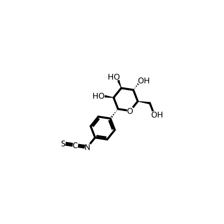 OC[C@H]1O[C@H](c2ccc(N=C=S)cc2)[C@@H](O)[C@@H](O)[C@@H]1O